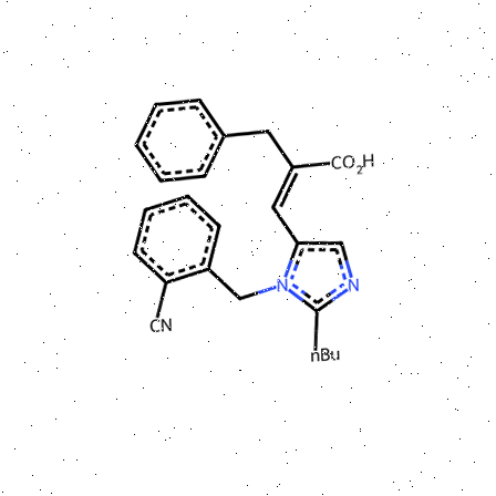 CCCCc1ncc(C=C(Cc2ccccc2)C(=O)O)n1Cc1ccccc1C#N